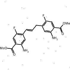 COC(=O)c1cc(F)c(/C=C/Cc2cc(N)c(C(=O)OC)cc2F)cc1N